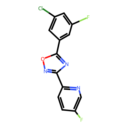 Fc1ccc(-c2noc(-c3cc(F)cc(Cl)c3)n2)nc1